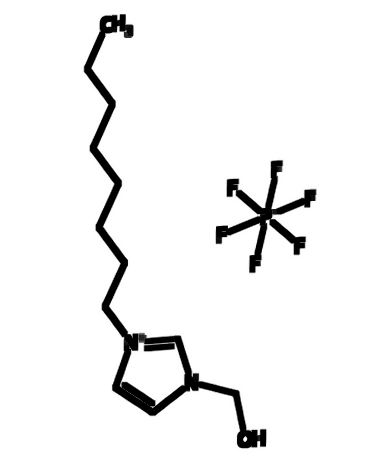 CCCCCCCC[n+]1ccn(CO)c1.F[P-](F)(F)(F)(F)F